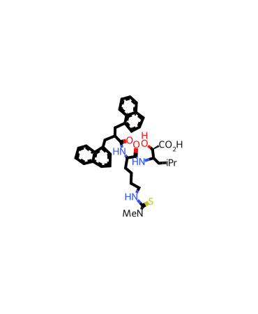 CNC(=S)NCCCCC(NC(=O)C(Cc1cccc2ccccc12)Cc1cccc2ccccc12)C(=O)NC(CC(C)C)[C@@H](O)C(=O)O